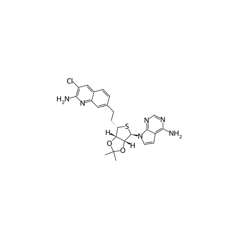 CC1(C)O[C@@H]2[C@H](O1)[C@H](CCc1ccc3cc(Cl)c(N)nc3c1)S[C@H]2n1ccc2c(N)ncnc21